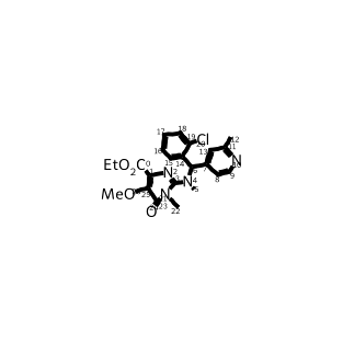 CCOC(=O)c1nc(N(C)C(c2ccnc(C)c2)c2ccccc2Cl)n(C)c(=O)c1OC